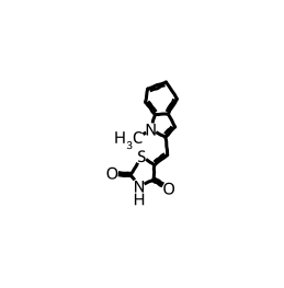 Cn1c(/C=C2\SC(=O)NC2=O)cc2ccccc21